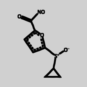 O=NC(=O)c1ccc([S+]([O-])C2CC2)o1